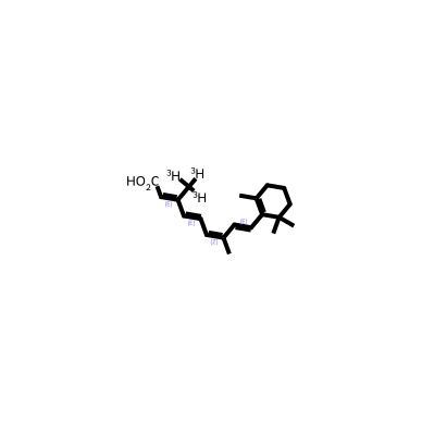 [3H]C([3H])([3H])C(/C=C/C=C(C)\C=C\C1=C(C)CCCC1(C)C)=C\C(=O)O